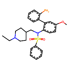 CCN1CCC(CN(c2ccc(OC)cc2-c2ccccc2P)S(=O)(=O)c2ccccc2)CC1